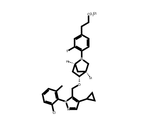 CCOC(=O)CCc1ccc(N2C[C@@H]3C[C@H]2C[C@H]3OCc2c(C3CC3)cnn2-c2c(C)cccc2Cl)c(F)c1